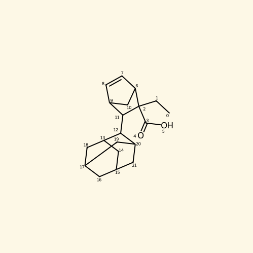 CCC1(C(=O)O)C2C=CC(C2)C1C1C2CC3CC(C2)CC1C3